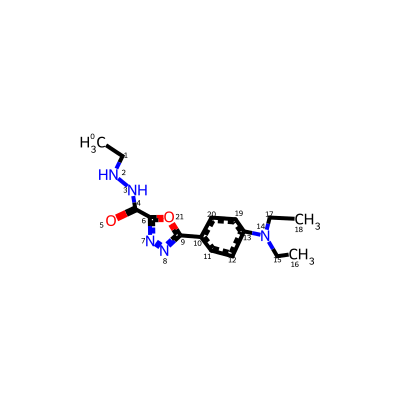 CCNNC(=O)c1nnc(-c2ccc(N(CC)CC)cc2)o1